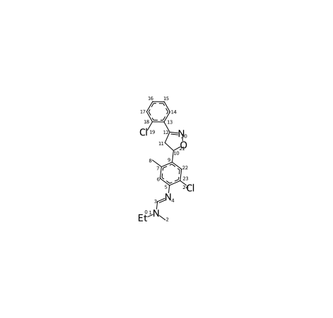 CCN(C)C=Nc1cc(C)c(C2CC(c3ccccc3Cl)=NO2)cc1Cl